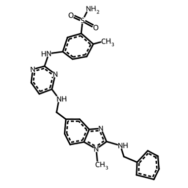 Cc1ccc(Nc2nccc(NCc3ccc4c(c3)nc(NCc3ccccc3)n4C)n2)cc1S(N)(=O)=O